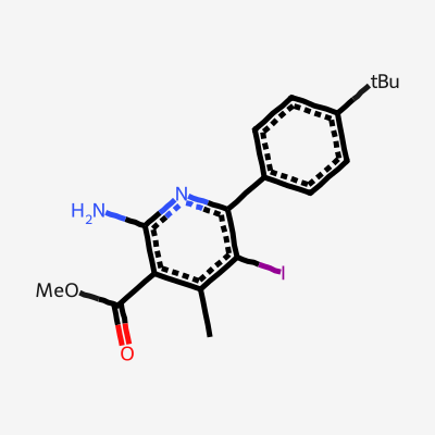 COC(=O)c1c(N)nc(-c2ccc(C(C)(C)C)cc2)c(I)c1C